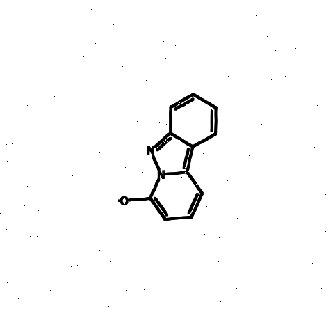 [O]c1cccc2c3ccccc3nn12